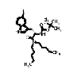 CCCCCN(CCCCC)C(=O)[C@H](Cc1c[nH]c2ccc(F)cc12)NC(=O)OC(C)(C)C